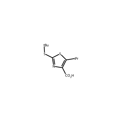 CC(C)c1sc(SC(C)(C)C)nc1C(=O)O